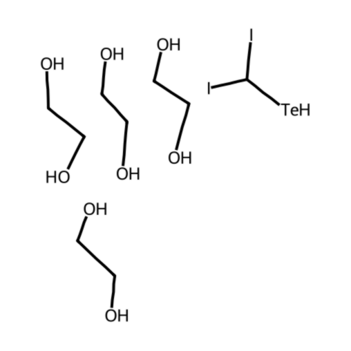 OCCO.OCCO.OCCO.OCCO.[TeH]C(I)I